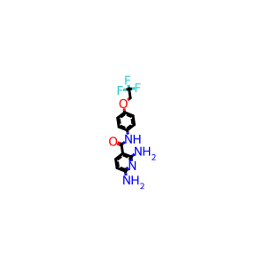 Nc1ccc(C(=O)Nc2ccc(OCC(F)(F)F)cc2)c(N)n1